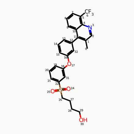 Cc1cnc2c(C(F)(F)F)cccc2c1-c1cccc(Oc2cccc(S(=O)(=O)CCCCO)c2)c1